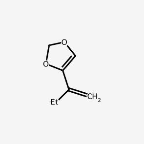 C=C([CH]C)C1=COCO1